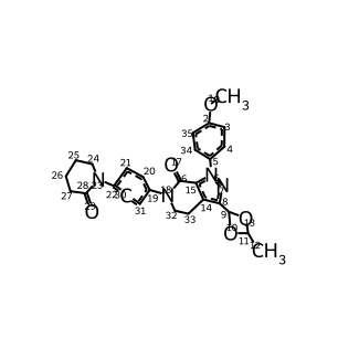 COc1ccc(-n2nc(C3OC(C)O3)c3c2C(=O)N(c2ccc(N4CCCCC4=O)cc2)CC3)cc1